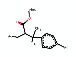 CCCCCCOC(=O)C(CC(C)=O)C(C)(C)c1ccc(C(C)C)cc1